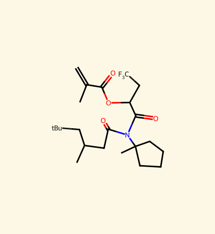 C=C(C)C(=O)OC(CC(F)(F)F)C(=O)N(C(=O)CC(C)CC(C)(C)C)C1(C)CCCC1